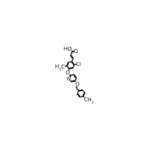 Cc1ccc(COc2ccc(Oc3cc(Cl)c(C=CC(=O)O)cc3C)nc2)cc1